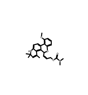 COc1cccc2c1-c1ccc3c(c1C(/C=C\COC(=O)N(C)C)O2)C(C)=CC(C)(C)N3